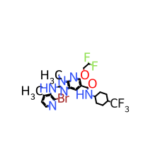 Cc1ccnc(Br)c1Nc1nc2cc(C(=O)NC3CCC(C(F)(F)F)CC3)c(OCC(F)F)nc2n1C